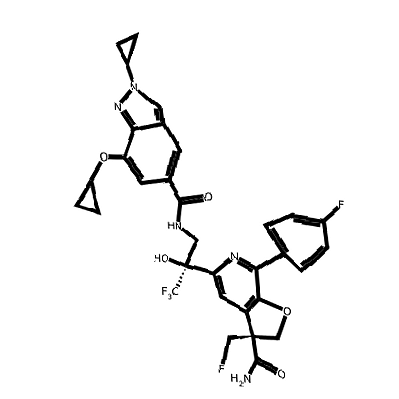 NC(=O)[C@@]1(CF)COc2c1cc([C@@](O)(CNC(=O)c1cc(OC3CC3)c3nn(C4CC4)cc3c1)C(F)(F)F)nc2-c1ccc(F)cc1